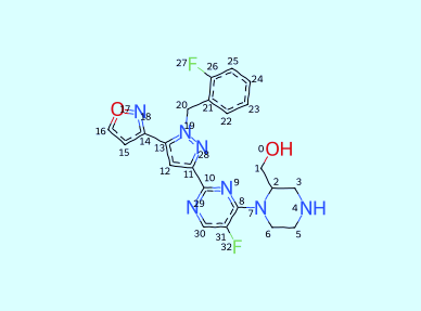 OCC1CNCCN1c1nc(-c2cc(-c3ccon3)n(Cc3ccccc3F)n2)ncc1F